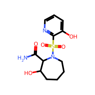 NC(=O)C1C(O)[CH]CCCN1S(=O)(=O)c1ncccc1O